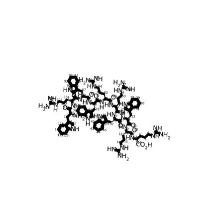 N=C(N)NCCC[C@H](NC(=O)[C@H](CCCNC(=N)N)NC(=O)[C@H](Cc1c[nH]c2ccccc12)NC(=O)[C@H](Cc1c[nH]c2ccccc12)NC(=O)[C@H](CCCNC(=N)N)NC(=O)[C@H](CCCNC(=N)N)NC(=O)[C@H](Cc1c[nH]c2ccccc12)NC(=O)[C@H](Cc1c[nH]c2ccccc12)NC(=O)[C@H](CCCNC(=N)N)NC(=O)[C@@H](N)Cc1c[nH]c2ccccc12)C(=O)O